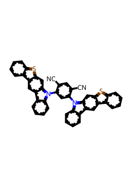 N#Cc1cc(C#N)c(-n2c3ccccc3c3cc4c(cc32)sc2ccccc24)cc1-n1c2ccccc2c2cc3c(cc21)sc1ccccc13